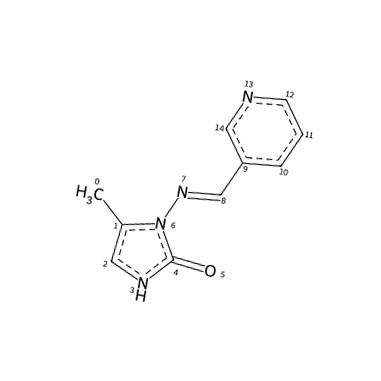 Cc1c[nH]c(=O)n1N=Cc1cccnc1